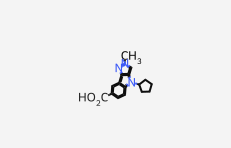 Cn1cc2c(n1)c1cc(C(=O)O)ccc1n2C1CCCC1